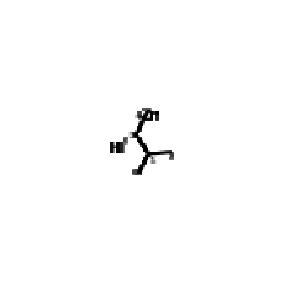 CC(C)[CH2][Zn].I